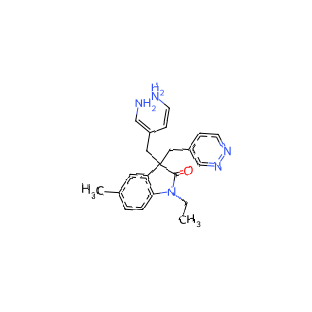 CCN1C(=O)C(CC(/C=C\N)=C/N)(Cc2ccnnc2)c2cc(C)ccc21